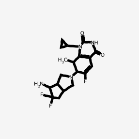 CC1c2c(c(=O)[nH]c(=O)n2C2CC2)C=C(F)C1N1CC2CC(F)(F)C(N)C2C1